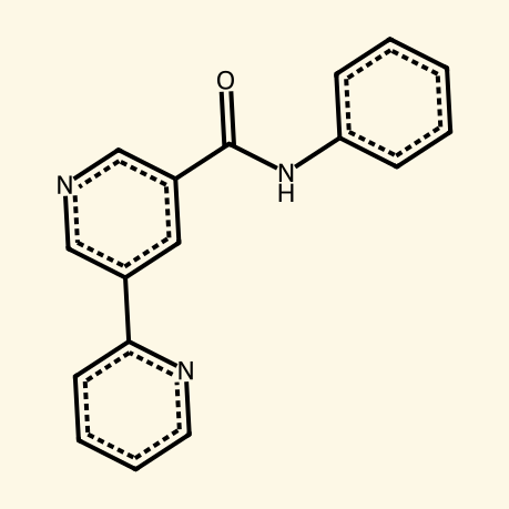 O=C(Nc1ccccc1)c1cncc(-c2ccccn2)c1